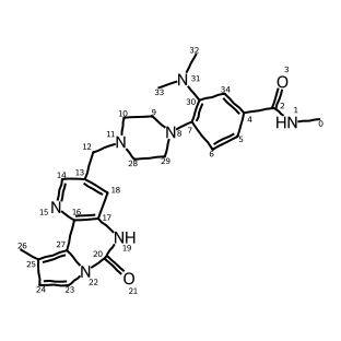 CNC(=O)c1ccc(N2CCN(Cc3cnc4c(c3)[nH]c(=O)n3ccc(C)c43)CC2)c(N(C)C)c1